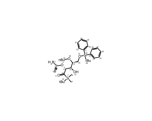 B#P(B)O[C@@H](C(=O)[Si](C)(C)C(C)(C)C)[C@H](O)[C@H](CO[Si](c1ccccc1)(c1ccccc1)C(C)(C)C)OCCCC